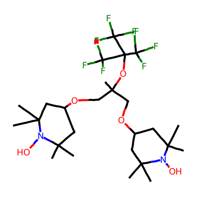 CC(COC1CC(C)(C)N(O)C(C)(C)C1)(COC1CC(C)(C)N(O)C(C)(C)C1)OC(C(F)(F)F)(C(F)(F)F)C(F)(F)F